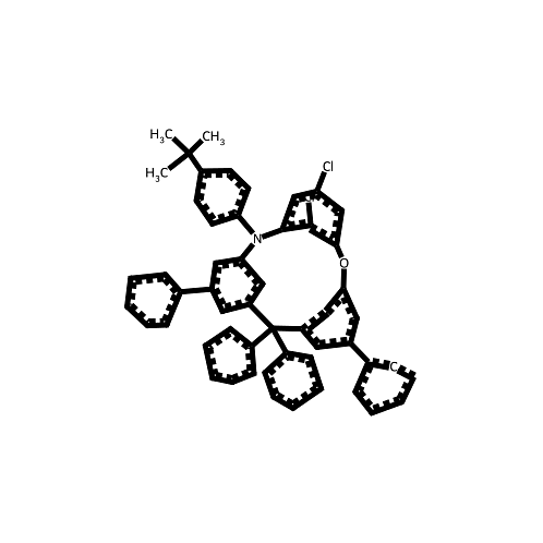 CC(C)(C)c1ccc(N2c3cc(-c4ccccc4)cc(c3)C(c3ccccc3)(c3ccccc3)c3cc(cc(-c4ccccc4)c3)Oc3cc(Cl)cc2c3Cl)cc1